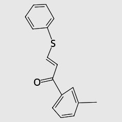 Cc1cccc(C(=O)/C=C/Sc2ccccc2)c1